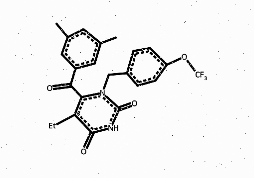 CCc1c(C(=O)c2cc(C)cc(C)c2)n(Cc2ccc(OC(F)(F)F)cc2)c(=O)[nH]c1=O